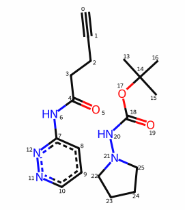 C#CCCC(=O)Nc1cccnn1.CC(C)(C)OC(=O)NN1CCCC1